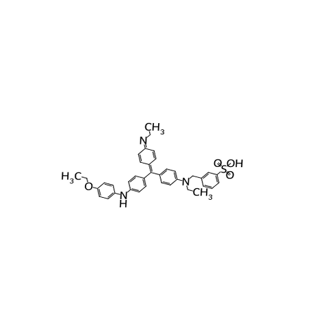 CCN=C1C=CC(=C(c2ccc(Nc3ccc(OCC)cc3)cc2)c2ccc(N(CC)Cc3cccc(S(=O)(=O)O)c3)cc2)C=C1